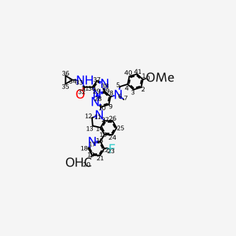 COc1ccc(CN(C)c2cc(N3CCc4c(-c5ncc(C=O)cc5F)cccc43)nn3c(C(=O)NC4CC4)cnc23)cc1